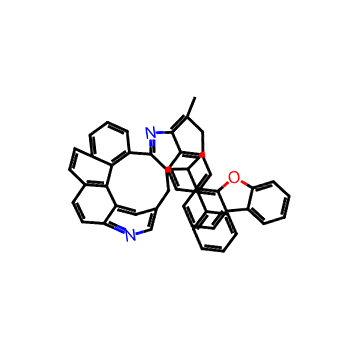 C/C1=C(c2ccc(-c3ccccc3)cc2)\N=C2\c3cccc4ccc5ccc6ncc(cc6c5c34)CC2C(c2cccc3c2oc2ccccc23)CC1